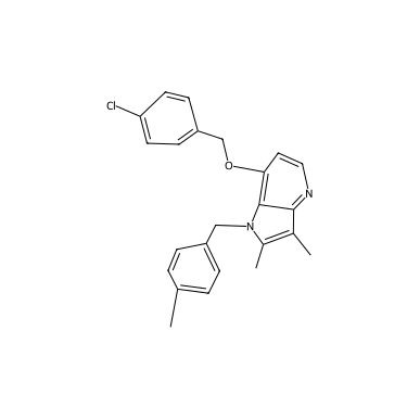 Cc1ccc(Cn2c(C)c(C)c3nccc(OCc4ccc(Cl)cc4)c32)cc1